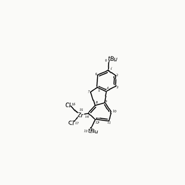 CC(C)(C)c1ccc2c(c1)Cc1c-2ccc(C(C)(C)C)[c]1[Zr]([Cl])[Cl]